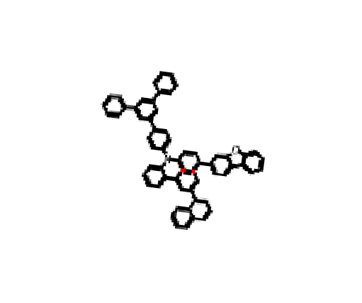 c1ccc(-c2cc(-c3ccccc3)cc(-c3ccc(N(c4ccc(-c5ccc6c(c5)oc5ccccc56)cc4)c4ccccc4-c4cccc(-c5cccc6ccccc56)c4)cc3)c2)cc1